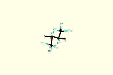 CC(F)(C(F)(F)F)C(C)(F)C(F)(F)F